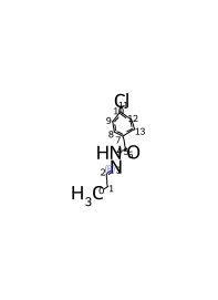 CC/C=N/NC(=O)c1ccc(Cl)cc1